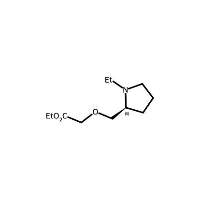 CCOC(=O)COC[C@@H]1CCCN1CC